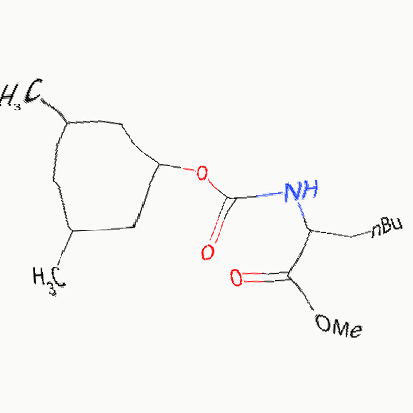 CCCCC(NC(=O)OC1CC(C)CC(C)C1)C(=O)OC